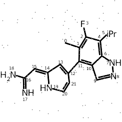 Cc1c(F)c(C(C)C)c2[nH]ncc2c1C1=C/C(=C/C(=N)N)NC=C1